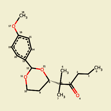 CCCC(=O)C(C)(C)[C@@H]1CCOC(c2ccc(OC)cc2)O1